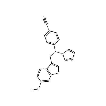 COc1ccc2c(CN(c3ccc(C#N)cc3)n3ccnc3)csc2c1